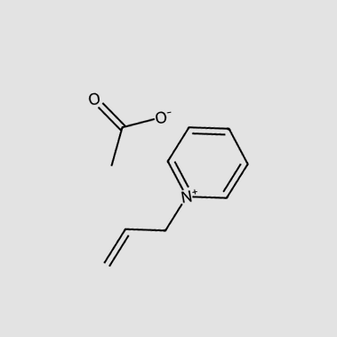 C=CC[n+]1ccccc1.CC(=O)[O-]